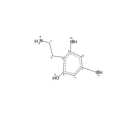 CC(C)(C)c1cc(O)c(CCN)c(C(C)(C)C)c1